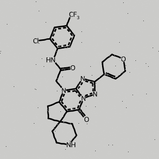 O=C(Cn1c2c(c(=O)n3nc(C4=CCOCC4)nc13)C1(CCNCC1)CC2)Nc1ccc(C(F)(F)F)cc1Cl